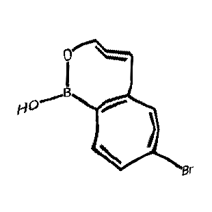 OB1OC=Cc2cc(Br)ccc21